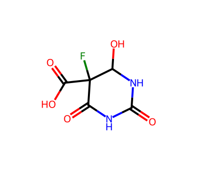 O=C1NC(=O)C(F)(C(=O)O)C(O)N1